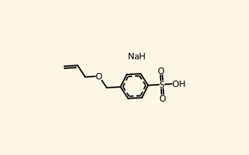 C=CCOCc1ccc(S(=O)(=O)O)cc1.[NaH]